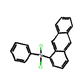 Cl[Si](Cl)(c1ccccc1)c1cccc2cc3ccccc3cc12